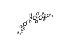 CCS(=O)(=O)c1ccc(CC(=O)Nc2cc(Cl)c(-c3ccc(S(=O)(=O)CC)c(F)c3)c(Cl)c2)cc1